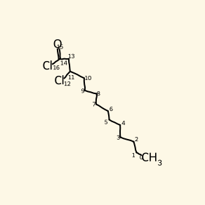 CCCCCCCCCCCC(Cl)CC(=O)Cl